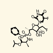 CC(C)OC(=O)[C@H](C)NP(=O)(Oc1ccccc1)O[C@H](C)[C@H]1O[C@@H](n2cc(F)c(=O)[nH]c2=O)[C@@](O)(CF)C1O